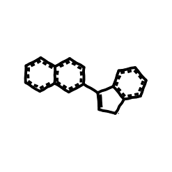 [CH]1C=C(c2ccc3ccccc3c2)c2ccccc21